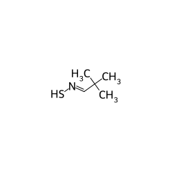 CC(C)(C)C=NS